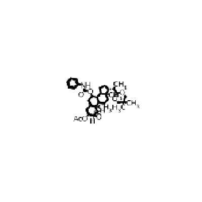 CC(=O)O[C@@H]1CC2=C[C@@H](OC(=O)Nc3ccccc3)C3C4CC[C@H](C(C)C5OCC(C)(C)CO5)[C@@]4(C)CCC3[C@@]2(C)[C@H]2O[C@@H]12